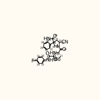 CC(C)(C)C[C@H](NC(=O)C(=O)Nc1ccc(F)cc1)C(=O)N1C[C@]2(CC1C#N)C(=O)Nc1ccccc12